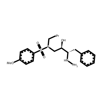 COc1ccc(S(=O)(=O)N(CC(C)C)C[C@@H](O)[C@H](Cc2ccccc2)NP)cc1